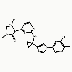 Cc1ccc(-n2cnc(C3(Nc4nccc(N5C(=O)N(C)C[C@@H]5C(C)C)n4)CC3)c2)cc1Cl